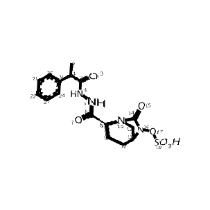 CC(C(=O)NNC(=O)[C@@H]1CCC2CN1C(=O)N2OS(=O)(=O)O)c1ccccc1